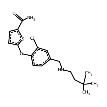 CC(C)(C)CCNCc1ccc(Oc2ccc(C(N)=O)s2)c(Cl)c1